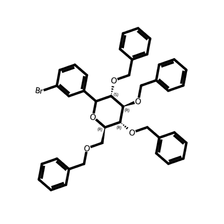 Brc1cccc(C2O[C@H](COCc3ccccc3)[C@@H](OCc3ccccc3)[C@H](OCc3ccccc3)[C@H]2OCc2ccccc2)c1